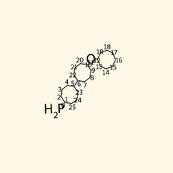 PC1CCCC(C2CCCC(OC3CCCCCCC3)CCC2)CCC1